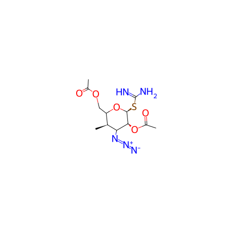 CC(=O)OCC1O[C@@H](SC(=N)N)[C@@H](OC(C)=O)C(N=[N+]=[N-])[C@H]1C